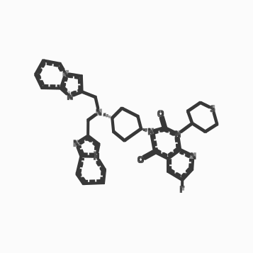 O=c1c2cc(F)cnc2n(C2CCSCC2)c(=O)n1[C@H]1CC[C@@H](N(Cc2cn3ccccc3n2)Cc2cn3ccccc3n2)CC1